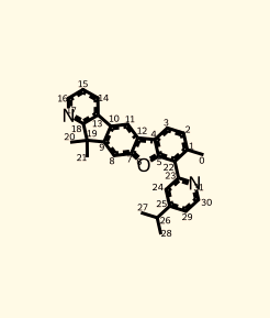 Cc1ccc2c(oc3cc4c(cc32)-c2cccnc2C4(C)C)c1-c1cc(C(C)C)ccn1